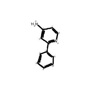 Nc1ccnc(-c2[c]cccc2)c1